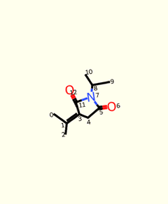 CC(C)=C1CC(=O)N(C(C)C)C1=O